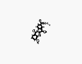 COc1cccc2c(=O)n3c(nc12)C(=O)c1cc(C(N)=O)ccc1-3